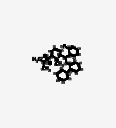 CN1C(S(=O)(=O)N(C)C)=NC=CC1C(Cc1ccccc1-c1ccccc1)c1cccnc1F